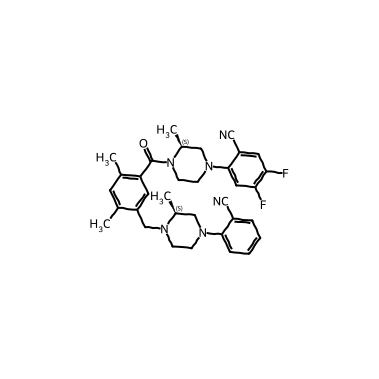 Cc1cc(C)c(C(=O)N2CCN(c3cc(F)c(F)cc3C#N)C[C@@H]2C)cc1CN1CCN(c2ccccc2C#N)C[C@@H]1C